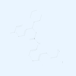 C[C@@H](N)CCc1c(F)cccc1NC(=O)CC(c1ccc(F)cc1)C1CCOCC1